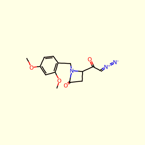 COc1ccc(CN2C(=O)CC2C(=O)C=[N+]=[N-])c(OC)c1